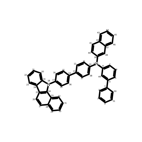 c1ccc(-c2cccc(N(c3ccc(-c4ccc(-n5c6ccccc6c6ccc7ccccc7c65)cc4)cc3)c3ccc4ccccc4c3)c2)cc1